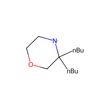 CCCCC1(CCCC)COCC[N]1